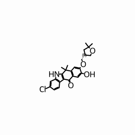 CC1(C)C[C@@H](COc2cc3c(cc2O)C(=O)c2c([nH]c4cc(Cl)ccc24)C3(C)C)CO1